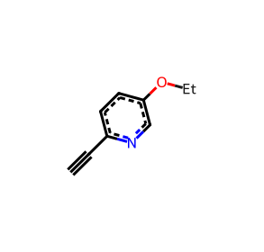 C#Cc1ccc(OCC)cn1